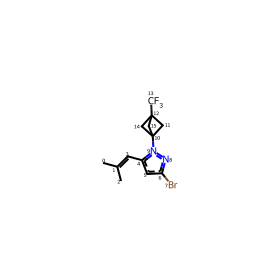 CC(C)=Cc1cc(Br)nn1C12CC(C(F)(F)F)(C1)C2